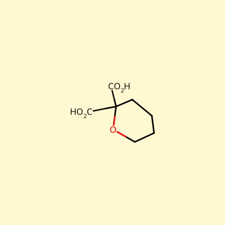 O=C(O)C1(C(=O)O)CCCCO1